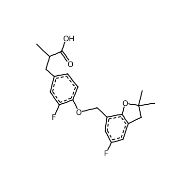 CC(Cc1ccc(OCc2cc(F)cc3c2OC(C)(C)C3)c(F)c1)C(=O)O